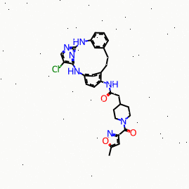 Cc1cc(C(=O)N2CCC(CC(=O)Nc3ccc4cc3CCc3cccc(c3)Nc3ncc(Cl)c(n3)N4)CC2)no1